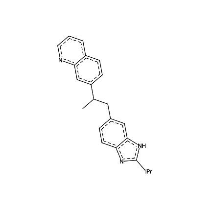 CC(C)c1nc2ccc(CC(C)c3ccc4cccnc4c3)cc2[nH]1